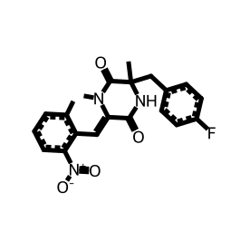 Cc1cccc([N+](=O)[O-])c1C=C1C(=O)NC(C)(Cc2ccc(F)cc2)C(=O)N1C